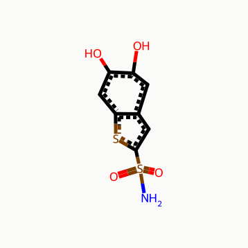 NS(=O)(=O)c1cc2cc(O)c(O)cc2s1